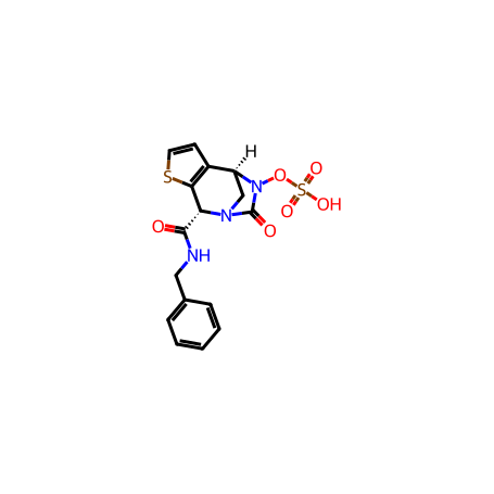 O=C(NCc1ccccc1)[C@@H]1c2sccc2[C@@H]2CN1C(=O)N2OS(=O)(=O)O